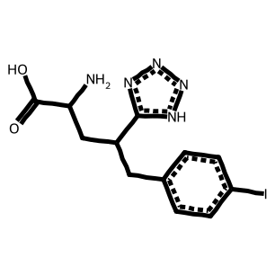 NC(CC(Cc1ccc(I)cc1)c1nnn[nH]1)C(=O)O